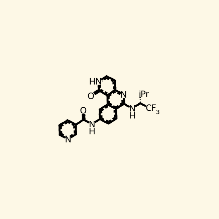 CC(C)[C@@H](Nc1nc2cc[nH]c(=O)c2c2cc(NC(=O)c3cccnc3)ccc12)C(F)(F)F